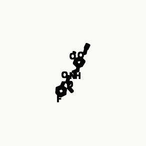 C#CCOc1ccc(CCNC(=O)[C@H](Cc2ccc(F)cc2)OCC)cc1OC